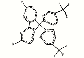 FC(F)(F)c1ccc(C2(c3ccc(C(F)(F)F)cc3)c3ccc(Br)nc3-c3nc(Br)ccc32)cc1